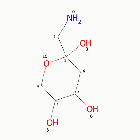 NCC1(O)CC(O)C(O)CO1